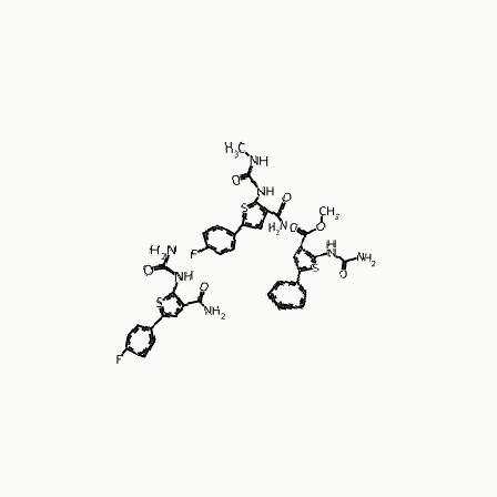 CNC(=O)Nc1sc(-c2ccc(F)cc2)cc1C(N)=O.COC(=O)c1cc(-c2ccccc2)sc1NC(N)=O.NC(=O)Nc1sc(-c2ccc(F)cc2)cc1C(N)=O